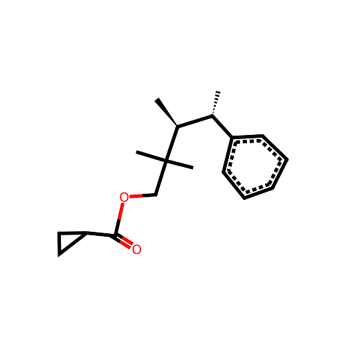 C[C@H](c1ccccc1)[C@H](C)C(C)(C)COC(=O)C1CC1